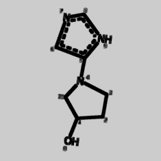 OC1CCN(c2cnc[nH]2)C1